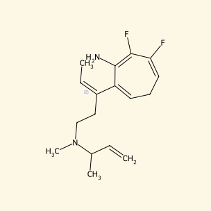 C=CC(C)N(C)CC/C(=C/C)C1=CCC=C(F)C(F)=C1N